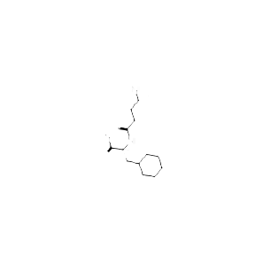 NCCCC(=O)N[C@@H](CC1CCCCC1)C(N)=O